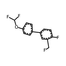 FCc1cc(-c2ccc(OC(F)F)cc2)ccc1F